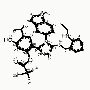 CCNc1ccccc1CSc1nnc(-c2cc(C(C)C)c(O)cc2OC(=O)C(F)(F)F)n1-c1ccc2c(ccn2C)c1